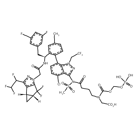 Cc1ccc(-c2ccc(Cl)c3c(N(C(=O)CCCN(CC(=O)O)C(=O)OCOP(=O)(O)O)S(C)(=O)=O)nn(CC(F)(F)F)c23)c([C@H](Cc2cc(F)cc(F)c2)NC(=O)Cn2nc(C(F)C(F)F)c3c2C(F)(F)[C@@H]2C[C@H]32)c1